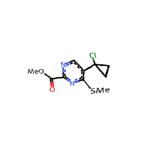 COC(=O)c1ncc(C2(Cl)CC2)c(SC)n1